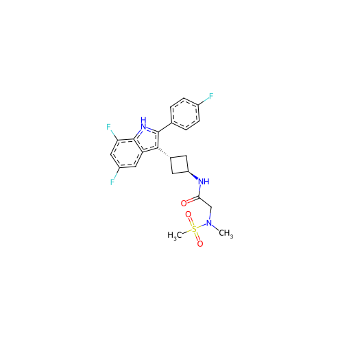 CN(CC(=O)N[C@H]1C[C@H](c2c(-c3ccc(F)cc3)[nH]c3c(F)cc(F)cc32)C1)S(C)(=O)=O